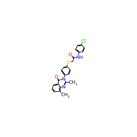 Cc1cccc2c(=O)n(-c3ccc(SCC(=O)Nc4ccc(Cl)cc4)cc3)c(C)nc12